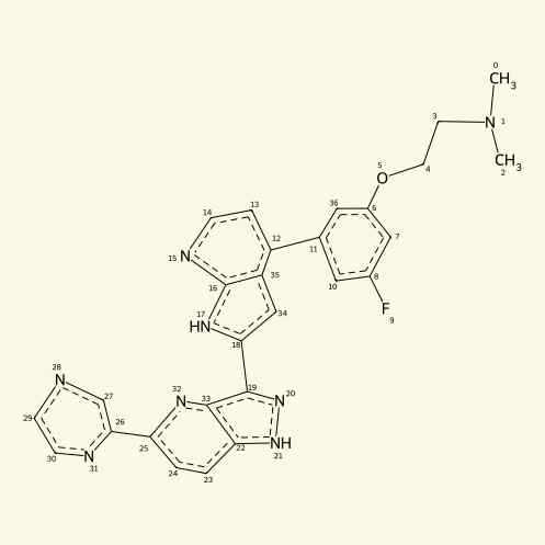 CN(C)CCOc1cc(F)cc(-c2ccnc3[nH]c(-c4n[nH]c5ccc(-c6cnccn6)nc45)cc23)c1